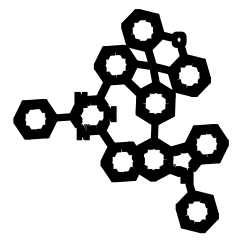 c1ccc(-c2nc(-c3ccccc3)nc(-c3cccc4c3-c3cc(-c5cccc6c5c5ccccc5n6-c5ccccc5)ccc3C43c4ccccc4Oc4ccccc43)n2)cc1